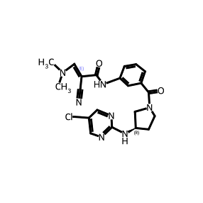 CN(C)/C=C(\C#N)C(=O)Nc1cccc(C(=O)N2CC[C@@H](Nc3ncc(Cl)cn3)C2)c1